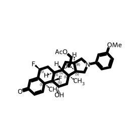 COc1cccc(N2C[C@@H]3C[C@H]4[C@@H]5C[C@H](F)C6=CC(=O)C=C[C@]6(C)[C@@]5(F)[C@@H](O)C[C@]4(C)[C@]3(C(=O)COC(C)=O)C2)c1